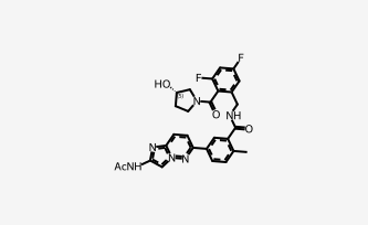 CC(=O)Nc1cn2nc(-c3ccc(C)c(C(=O)NCc4cc(F)cc(F)c4C(=O)N4CC[C@H](O)C4)c3)ccc2n1